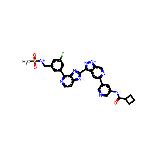 CS(=O)(=O)NCc1cc(F)cc(-c2nccc3[nH]c(-c4n[nH]c5cnc(-c6cncc(NC(=O)C7CCC7)c6)cc45)nc23)c1